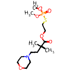 COP(=O)(OC)SCCOC(=O)C(C)(C)CCN1CCOCC1